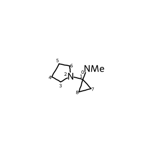 CNC1(N2CCCC2)CC1